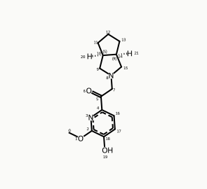 COc1nc(C(=O)CN2C[C@H]3CCC[C@H]3C2)ccc1O